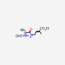 CCOC(=O)/C(C)=C/CN(C)C(=O)[C@H](NC=O)C(C)(C)C